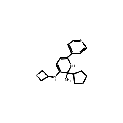 NC1(C2CCCC2)NC(c2ccncc2)=CC=C1NC1COC1